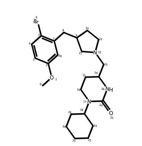 COc1ccc(Br)c(CC2CCN(CC3CCN(C4CCCCC4)C(=O)N3)C2)c1